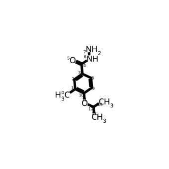 Cc1cc(C(=O)NN)ccc1OC(C)C